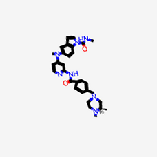 CNC(=O)n1ccc2cc(N(C)c3ccnc(NC(=O)c4ccc(CN5CCN(C)[C@H](C)C5)cc4)c3)ccc21